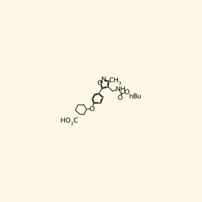 CCCCOC(=O)NCc1c(C)noc1-c1ccc(O[C@@H]2CCC[C@@H](C(=O)O)C2)cc1